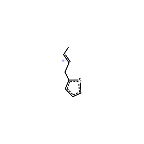 C/C=C/Cc1cccs1